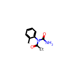 [CH2]c1ccccc1N(C(N)=O)C(=O)CC